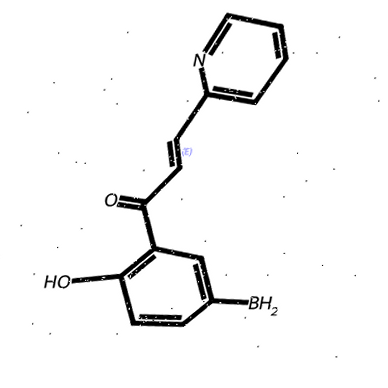 Bc1ccc(O)c(C(=O)/C=C/c2ccccn2)c1